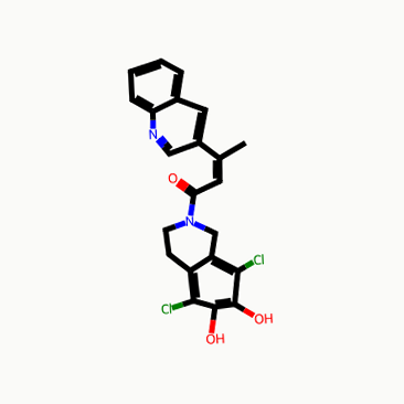 CC(=CC(=O)N1CCc2c(Cl)c(O)c(O)c(Cl)c2C1)c1cnc2ccccc2c1